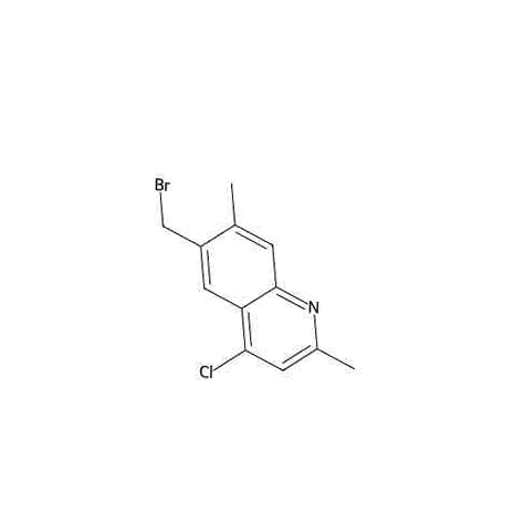 Cc1cc(Cl)c2cc(CBr)c(C)cc2n1